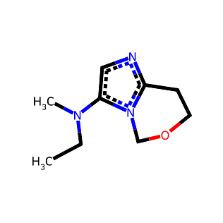 CCN(C)c1cnc2n1COCC2